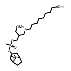 CCCCCCCCCCCCCCCCCCSCC(COC)COP(C)(=O)OC1CC2CCC(C1)[N+]2(C)C